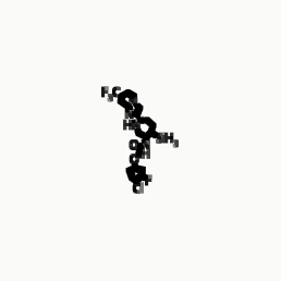 O=C(COc1ccc(Cl)c(F)c1)NC1CN[C@@H](c2cn3ccc(C(F)(F)F)cc3n2)CCC1[SiH3]